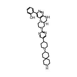 Oc1ccccc1-c1cc2c(nn1)NC[C@H]1CN(c3ncc(C4CCN(C5CCC6(CCNCC6)CC5)CC4)cn3)CCN21